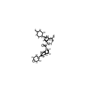 CC1CCC(n2cc(NC(=O)n3ccc4sc(N5CCOCC5)nc43)c(C(F)F)n2)CC1